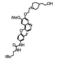 COc1cc2c(Oc3ccc(NC(=O)NCCC(C)(C)C)cc3F)ccnc2cc1OCCN1CCC(CCO)CC1